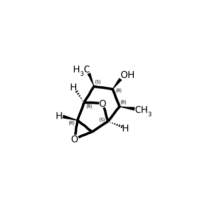 C[C@@H]1[C@H](O)[C@H](C)[C@H]2O[C@@H]1C1O[C@@H]12